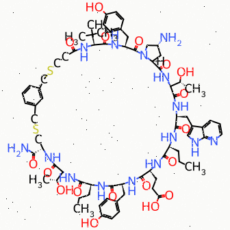 CCC[C@@H]1NC(=O)[C@H](Cc2c[nH]c3ncccc23)NC(=O)[C@H]([C@@H](C)O)NC(=O)[C@@H]2C[C@@H](N)CN2C(=O)[C@H](Cc2ccc(O)cc2)NC(=O)[C@H](C(C)(C)C)NC(=O)CCSCc2cccc(c2)CSC[C@@H](C(N)=O)NC(=O)[C@H]([C@@H](C)O)NC(=O)[C@H](CCC)NC(=O)[C@H](Cc2ccc(O)cc2)NC(=O)[C@H](CCC(=O)O)NC1=O